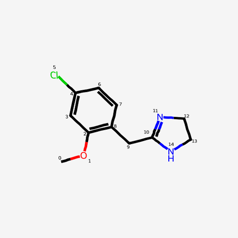 COc1cc(Cl)ccc1CC1=NCCN1